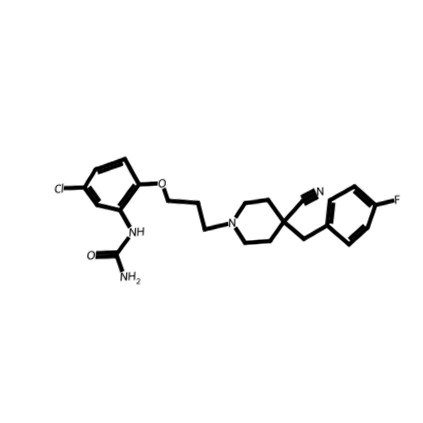 N#CC1(Cc2ccc(F)cc2)CCN(CCCOc2ccc(Cl)cc2NC(N)=O)CC1